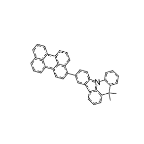 CC1(C)c2ccccc2-n2c3ccc(-c4ccc5c6cccc7cccc(c8cccc4c85)c76)cc3c3cccc1c32